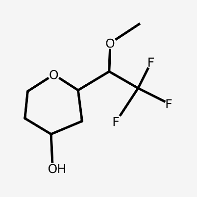 COC(C1CC(O)CCO1)C(F)(F)F